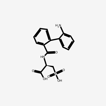 Nc1ccccc1-c1ccccc1C(=O)N[C@@H](CS(=O)(=O)O)C(=O)O